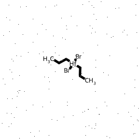 CC[CH2][Hf]([Br])([Br])[CH2]CC